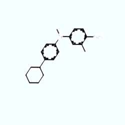 Cc1cc(N(C)c2ccc(C3CCCCC3)cc2)ccc1N